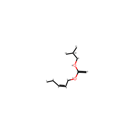 C=C(OC/C=C\CC)OCC(C)C